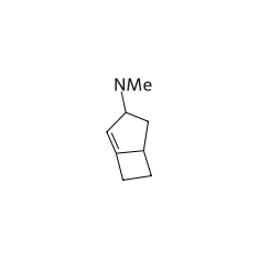 CNC1C=C2CCC2C1